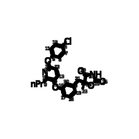 CCCc1nc(Oc2ccc(Cl)cc2)ccc1Oc1cccc(C[C@@]2(C)OC(=O)NC2=O)c1